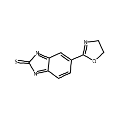 S=C1N=c2ccc(C3=NCCO3)cc2=N1